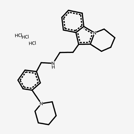 Cl.Cl.Cl.c1cc(CNCCc2c3n(c4ccccc24)CCCC3)cc(N2CCCCC2)c1